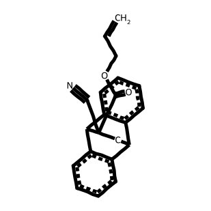 C=CCOC(=O)C1(C#N)CC2c3ccccc3C1c1ccccc12